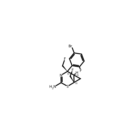 NC1=N[C@](CF)(c2cc(Br)ccc2F)[C@@H]2C[C@]2(CF)S1